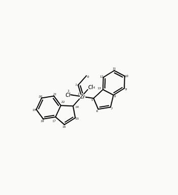 C[CH]=[Zr]([Cl])([Cl])([CH]1C=Cc2ccccc21)[CH]1C=Cc2ccccc21